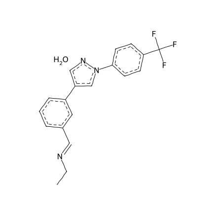 CC/N=C/c1cccc(-c2cnn(-c3ccc(C(F)(F)F)cc3)c2)c1.O